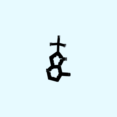 O=c1ccnc2cc(C(F)(F)F)[nH]n12